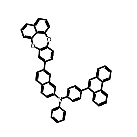 c1ccc(N(c2ccc(-c3cc4ccccc4c4ccccc34)cc2)c2ccc3ccc(-c4ccc5c(c4)Oc4cccc6cccc(c46)O5)cc3c2)cc1